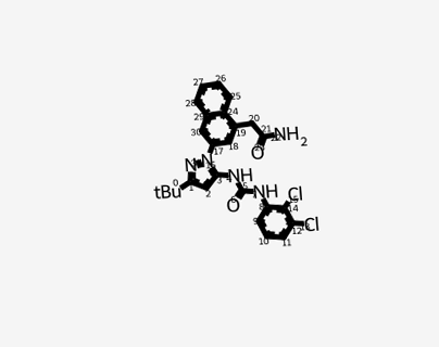 CC(C)(C)c1cc(NC(=O)Nc2cccc(Cl)c2Cl)n(-c2cc(CC(N)=O)c3ccccc3c2)n1